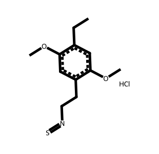 CCc1cc(OC)c(CCN=S)cc1OC.Cl